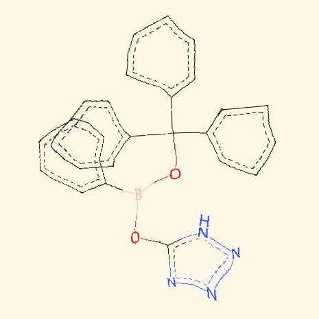 c1ccc(B(Oc2nnn[nH]2)OC(c2ccccc2)(c2ccccc2)c2ccccc2)cc1